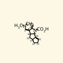 CN(C)C=C1C(=O)N(C(=O)O)C2C3=CCCC3CC12